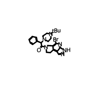 CC(C)(C)N1CCN(C(C(=O)N2CCc3c(c(Br)nc4[nH]ncc34)C2)c2ccccc2)CC1